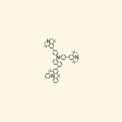 CC1(C)CCN2CCC(C)(C)c3cc(-c4ccc(N(c5ccc(-c6cc7c8c(c6)C(C)(C)CCN8CCC7(C)C)cc5)c5cccc6c(-c7cc8c9c(c7)C(C)(C)c7ccccc7N9c7ccccc7C8(C)C)cccc56)cc4)cc1c32